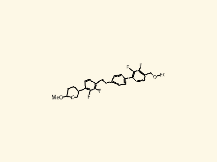 CCOCc1ccc(-c2ccc(CCc3ccc(C4CCC(OC)CC4)c(F)c3F)cc2)c(F)c1F